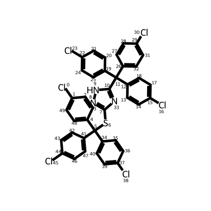 Clc1ccc(C(Sc2n[nH]c(C(c3ccc(Cl)cc3)(c3ccc(Cl)cc3)c3ccc(Cl)cc3)n2)(c2ccc(Cl)cc2)c2ccc(Cl)cc2)cc1